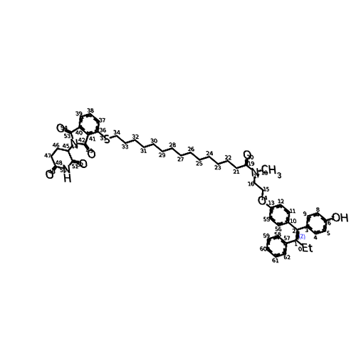 CC/C(=C(\c1ccc(O)cc1)c1ccc(OCCN(C)C(=O)CCCCCCCCCCCCCCSc2cccc3c2C(=O)N(C2CCC(=O)NC2=O)C3=O)cc1)c1ccccc1